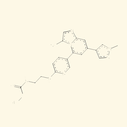 Cn1cc(-c2cc(-c3ccc(NCCNC(=O)OC(C)(C)C)nc3)n3c(C#N)cnc3c2)cn1